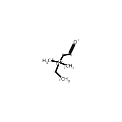 CC[N+](C)(C)CC=O